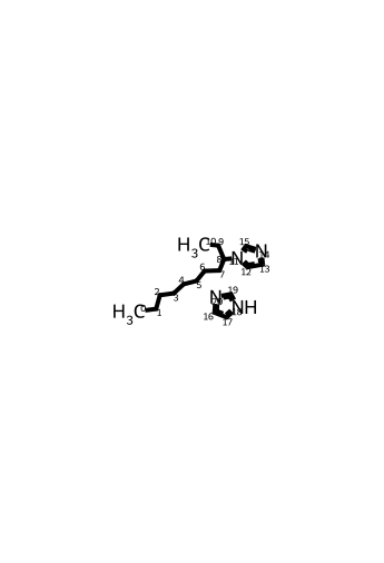 CCCCCCCCC(CC)n1ccnc1.c1c[nH]cn1